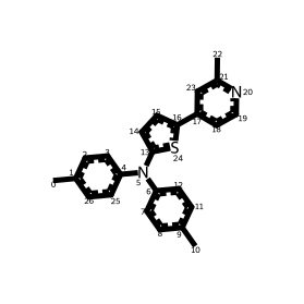 Cc1ccc(N(c2ccc(C)cc2)c2ccc(-c3ccnc(C)c3)s2)cc1